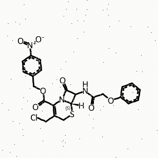 O=C(COc1ccccc1)NC1C(=O)N2C(C(=O)OCc3ccc([N+](=O)[O-])cc3)=C(CCl)CS[C@@H]12